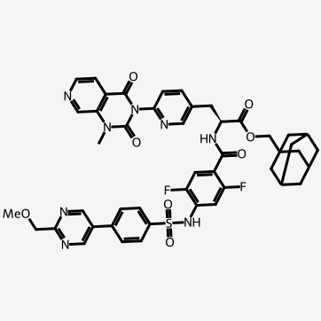 COCc1ncc(-c2ccc(S(=O)(=O)Nc3cc(F)c(C(=O)N[C@@H](Cc4ccc(-n5c(=O)c6ccncc6n(C)c5=O)nc4)C(=O)OCC45CC6CC(CC(C6)C4)C5)cc3F)cc2)cn1